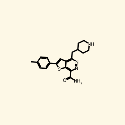 Cc1ccc(-c2cc3c(CC4CCNCC4)nnc(C(N)=O)c3s2)cc1